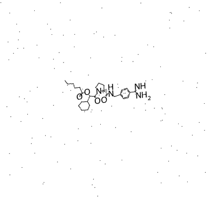 CCCCCC(=O)OC(C(=O)N1CCC[C@@H]1C(=O)NCc1ccc(C(=N)N)cc1)C1CCCCC1